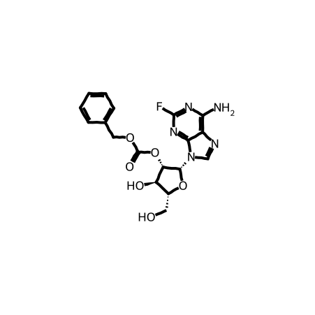 Nc1nc(F)nc2c1ncn2[C@@H]1O[C@H](CO)[C@@H](O)[C@@H]1OC(=O)OCc1ccccc1